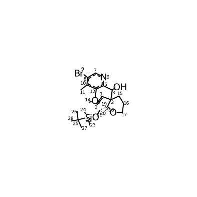 C=CC1(C(O)c2ncc(Br)c(C)c2OC)CCCO[C@@H]1CO[Si](C)(C)C(C)(C)C